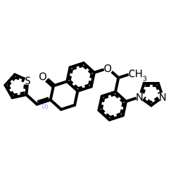 CC(Oc1ccc2c(c1)CC/C(=C/c1cccs1)C2=O)c1ccccc1-n1ccnc1